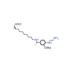 CCCCCCCC/C=C\CCCCCCCCNC(=S)c1ccc(NCCN)c(OC)c1